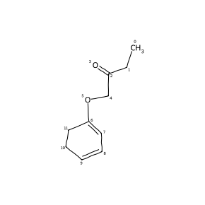 CCC(=O)COC1=CC=CCC1